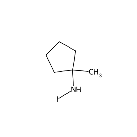 CC1(NI)CCCC1